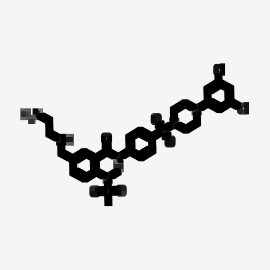 CN(c1ccc(CNCCN)cc1C(=O)Nc1ccc(S(=O)(=O)N2CCN(c3cc(Cl)cc(Cl)c3)CC2)cc1)S(C)(=O)=O